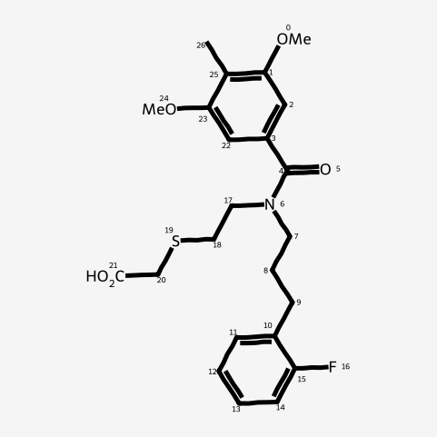 COc1cc(C(=O)N(CCCc2ccccc2F)CCSCC(=O)O)cc(OC)c1C